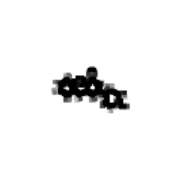 CN1CCN(C2=CC(=O)C3OC4C=CC=CC4=CC3=C2)CC1